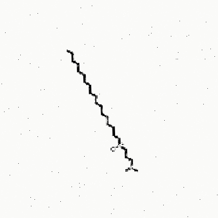 CCCCCCCCCCCCCCCCCC[NH+]([O-])CCCN(C)C